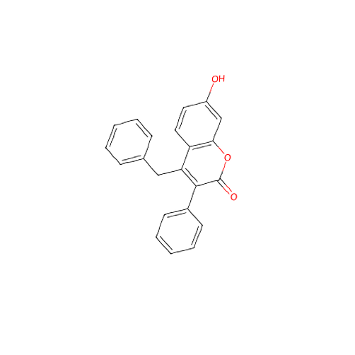 O=c1oc2cc(O)ccc2c(Cc2ccccc2)c1-c1ccccc1